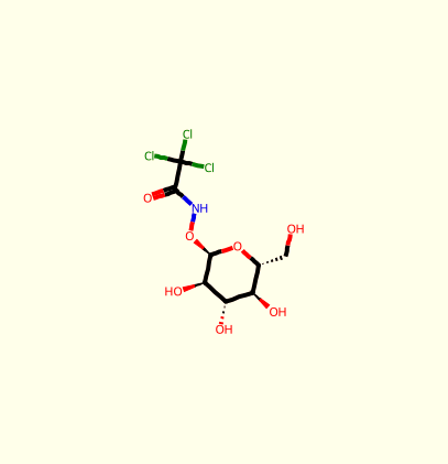 O=C(NO[C@H]1O[C@H](CO)[C@@H](O)[C@H](O)[C@H]1O)C(Cl)(Cl)Cl